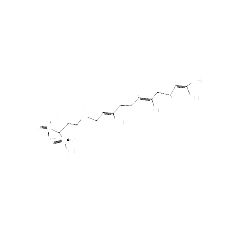 CC(C)=CCC/C(C)=C/CC/C(C)=C/COCCC(P(=O)(O)O)S(=O)(=O)O